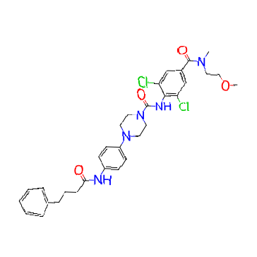 COCCN(C)C(=O)c1cc(Cl)c(NC(=O)N2CCN(c3ccc(NC(=O)CCCc4ccccc4)cc3)CC2)c(Cl)c1